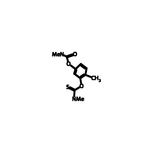 CNC(=O)Oc1ccc(C)c(OC(=S)NC)c1